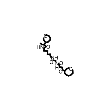 CC1NC(CCCCCNC(=O)CNC(=O)CCC(=O)C2CCCCCCCCC2)C(=O)C1C1CCCCCCCC1